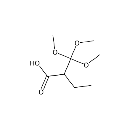 CCC(C(=O)O)C(OC)(OC)OC